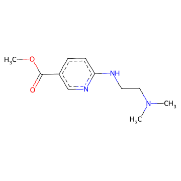 COC(=O)c1ccc(NCCN(C)C)nc1